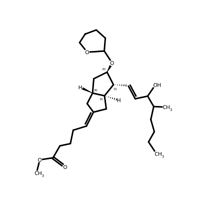 CCCCC(C)C(O)C=C[C@@H]1[C@H]2CC(=CCCCC(=O)OC)C[C@@H]2C[C@H]1OC1CCCCO1